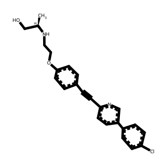 C[C@H](CO)NCCOc1ccc(C#Cc2ccc(-c3ccc(Cl)cc3)cn2)cc1